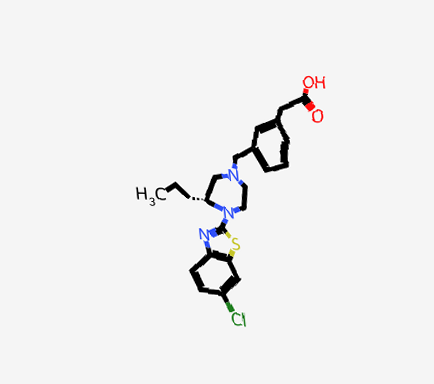 CCC[C@@H]1CN(Cc2cccc(CC(=O)O)c2)CCN1c1nc2ccc(Cl)cc2s1